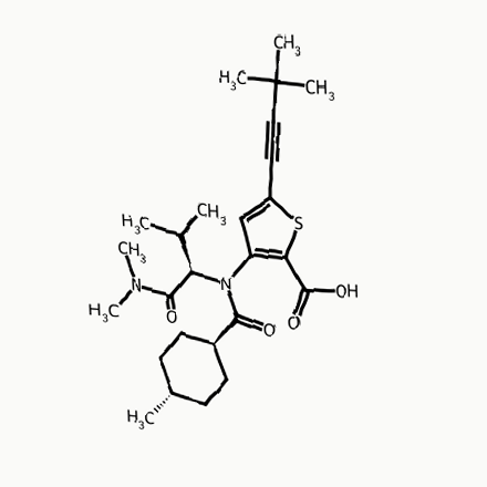 CC(C)[C@H](C(=O)N(C)C)N(c1cc(C#CC(C)(C)C)sc1C(=O)O)C(=O)[C@H]1CC[C@H](C)CC1